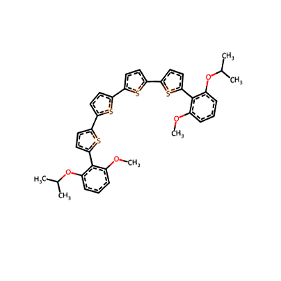 COc1cccc(OC(C)C)c1-c1ccc(-c2ccc(-c3ccc(-c4ccc(-c5c(OC)cccc5OC(C)C)s4)s3)s2)s1